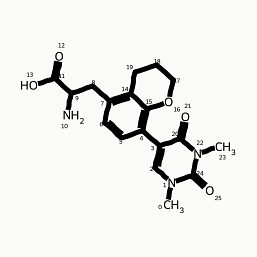 Cn1cc(-c2ccc(CC(N)C(=O)O)c3c2OCCC3)c(=O)n(C)c1=O